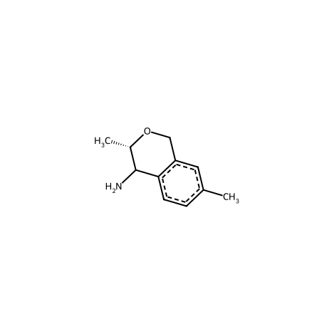 Cc1ccc2c(c1)CO[C@@H](C)C2N